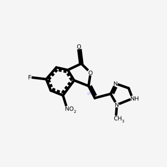 CN1NCN=C1/C=C1\OC(=O)c2cc(F)cc([N+](=O)[O-])c21